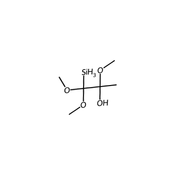 COC(C)(O)C([SiH3])(OC)OC